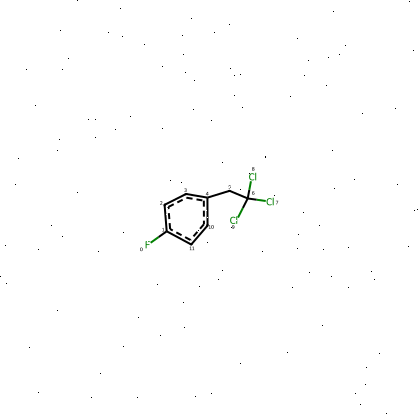 Fc1ccc(CC(Cl)(Cl)Cl)cc1